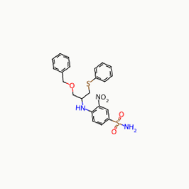 NS(=O)(=O)c1ccc(NC(COCc2ccccc2)CSc2ccccc2)c([N+](=O)[O-])c1